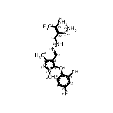 Cc1nn(C)c(Oc2ccc(F)cc2F)c1/C=N/NC/C(SN)=C(/N)C(F)(F)F